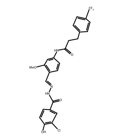 COc1cc(NC(=O)CCc2ccc(C(F)(F)F)cc2)ccc1/C=N/NC(=O)c1ccc(O)c(Cl)c1